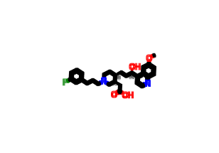 COc1ccc2nccc([C@@H](O)CC[C@@H]3CCN(CCCc4cccc(F)c4)C[C@@H]3CC(=O)O)c2c1